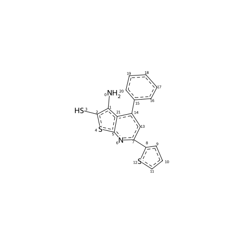 Nc1c(S)sc2nc(-c3cccs3)cc(-c3ccccc3)c12